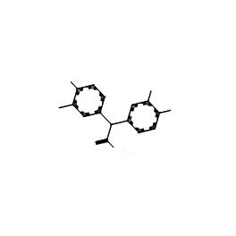 COC(=O)C(c1ccc(O)c(Cl)c1)c1ccc(O)c(Cl)c1